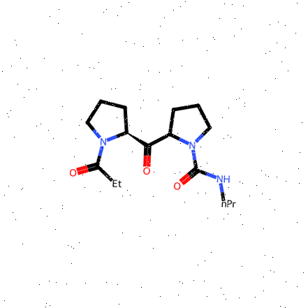 CCCNC(=O)N1CCCC1C(=O)[C@@H]1CCCN1C(=O)CC